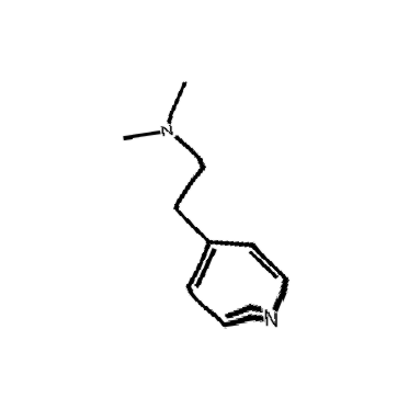 CN(C)CCc1ccncc1